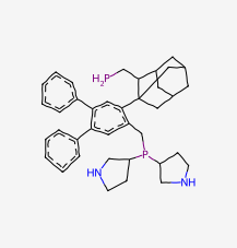 PCC1C2CC3CC(C2)CC1(c1cc(-c2ccccc2)c(-c2ccccc2)cc1CP(C1CCNC1)C1CCNC1)C3